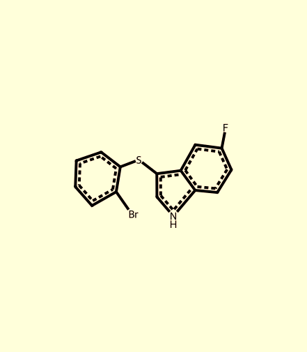 Fc1ccc2[nH]cc(Sc3ccccc3Br)c2c1